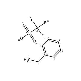 CC[n+]1ccccc1.O=S(=O)([O-])C(F)(F)F